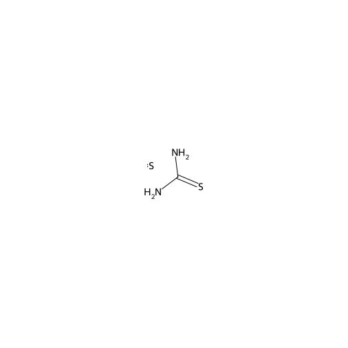 NC(N)=S.[S]